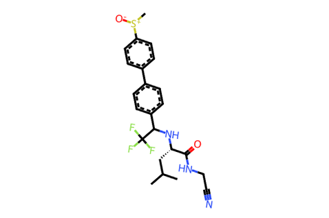 CC(C)C[C@H](NC(c1ccc(-c2ccc([S+](C)[O-])cc2)cc1)C(F)(F)F)C(=O)NCC#N